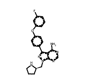 Nc1ncnc2c1c(-c1ccc(Oc3cccc(F)c3)cc1)nn2C[C@H]1CCCN1